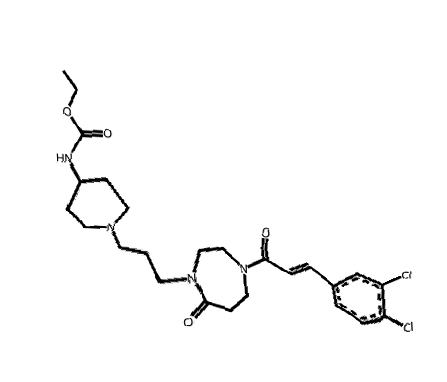 CCOC(=O)NC1CCN(CCCN2CCN(C(=O)/C=C/c3ccc(Cl)c(Cl)c3)CCC2=O)CC1